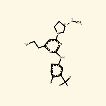 CCCc1cc(N2CC[C@H](NC)C2)nc(Nc2ccc(F)c(C(F)(F)F)c2)n1